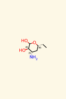 CC[C@@H]1C[C@H](N)[C@@H](O)C(O)O1